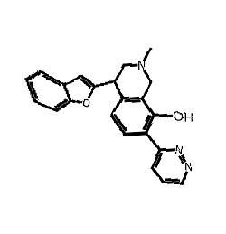 CN1Cc2c(ccc(-c3cccnn3)c2O)C(c2cc3ccccc3o2)C1